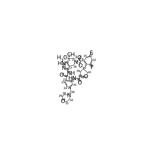 CC1(C)CN(S(=O)(=O)c2cc(F)cc(F)c2)Cc2c(NC(=O)c3ccc(CN4CCOCC4)cc3NC(=O)[C@H]3CCCO3)n[nH]c21